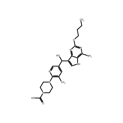 CCCCOc1nc(N)c2[nH]cc(C(O)c3cnc(N4CCN(C(=O)O)CC4)c(C)c3)c2n1